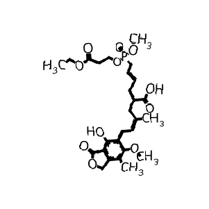 CCOC(=O)CCOP(=O)(CC=CCC(CC(C)=CCc1c(O)c2c(c(C)c1OC)COC2=O)C(=O)O)OC